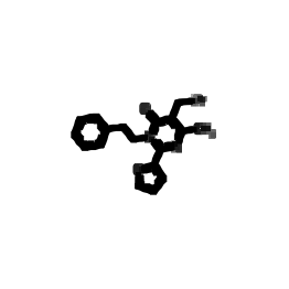 Cc1nc(-c2ccco2)n(CCc2ccccc2)c(=O)c1CC(C)C